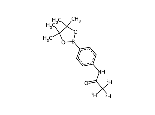 [2H]C([2H])([2H])C(=O)Nc1ccc(B2OC(C)(C)C(C)(C)O2)cc1